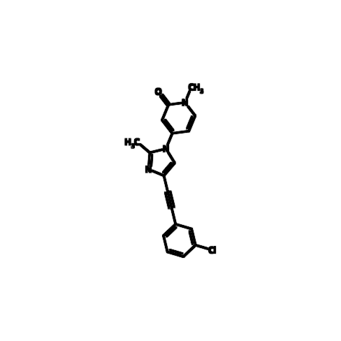 Cc1nc(C#Cc2cccc(Cl)c2)cn1-c1ccn(C)c(=O)c1